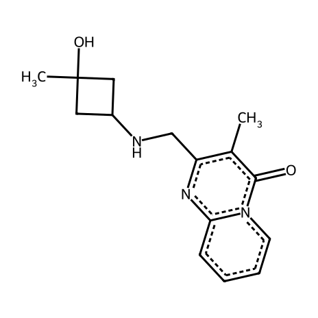 Cc1c(CNC2CC(C)(O)C2)nc2ccccn2c1=O